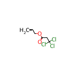 C=CCOC(=O)CC(Cl)(Cl)Cl